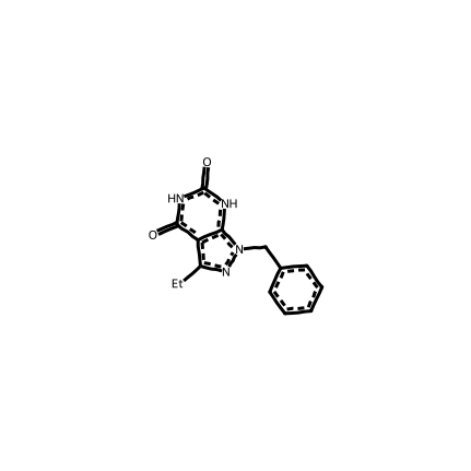 CCc1nn(Cc2ccccc2)c2[nH]c(=O)[nH]c(=O)c12